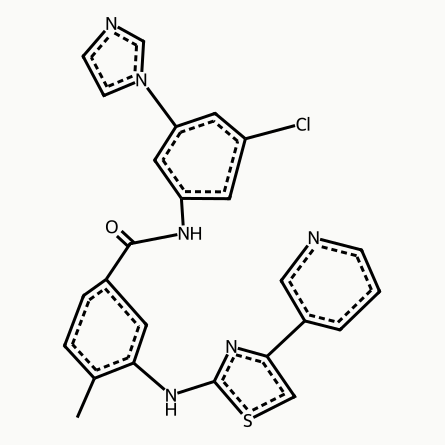 Cc1ccc(C(=O)Nc2cc(Cl)cc(-n3ccnc3)c2)cc1Nc1nc(-c2cccnc2)cs1